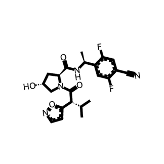 CC(C)[C@@H](C(=O)N1C[C@H](O)C[C@H]1C(=O)N[C@@H](C)c1cc(F)c(C#N)cc1F)c1ccno1